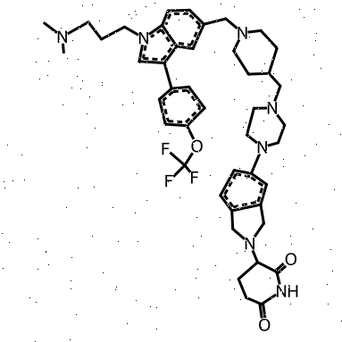 CN(C)CCCn1cc(-c2ccc(OC(F)(F)F)cc2)c2cc(CN3CCC(CN4CCN(c5ccc6c(c5)CN(C5CCC(=O)NC5=O)C6)CC4)CC3)ccc21